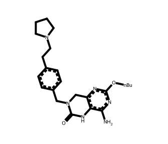 CCCCOc1nc(N)c2c(n1)CN(Cc1ccc(CCN3CCCC3)cc1)C(=O)N2